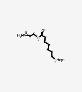 CCCCCCCCCCCCCC(=O)OCCON